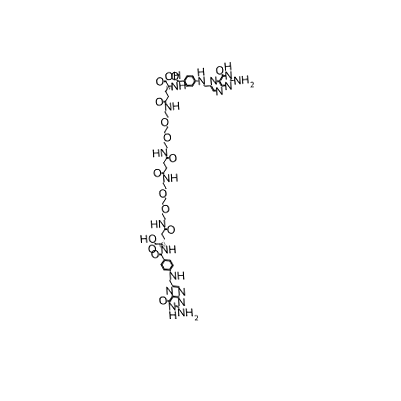 Nc1nc2ncc(CNc3ccc(C(=O)N[C@@H](CCC(=O)NCCOCCOCCNC(=O)CCC(=O)NCCOCCOCCNC(=O)CC[C@H](NC(=O)c4ccc(NCc5cnc6nc(N)[nH]c(=O)c6n5)cc4)C(=O)O)C(=O)O)cc3)nc2c(=O)[nH]1